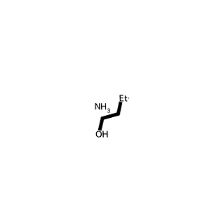 C[CH]CCO.N